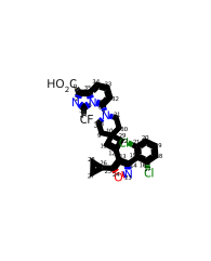 O=C(O)c1nc(C(F)(F)F)n2c(N3CCC4(C=C(c5c(-c6c(Cl)cccc6Cl)noc5C5CC5)C4)CC3)cccc12